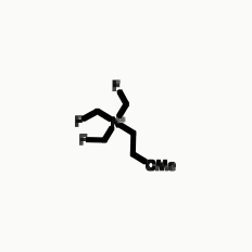 COCC[N+](CF)(CF)CF